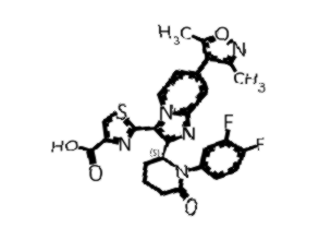 Cc1noc(C)c1-c1ccn2c(-c3nc(C(=O)O)cs3)c([C@@H]3CCCC(=O)N3c3ccc(F)c(F)c3)nc2c1